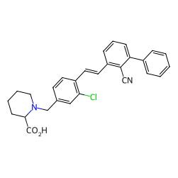 N#Cc1c(/C=C/c2ccc(CN3CCCCC3C(=O)O)cc2Cl)cccc1-c1ccccc1